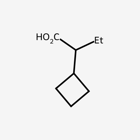 CCC(C(=O)O)C1CCC1